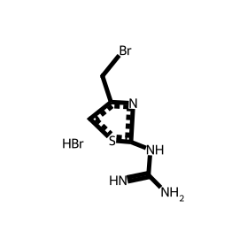 Br.N=C(N)Nc1nc(CBr)cs1